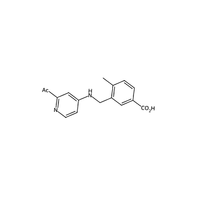 CC(=O)c1cc(NCc2cc(C(=O)O)ccc2C)ccn1